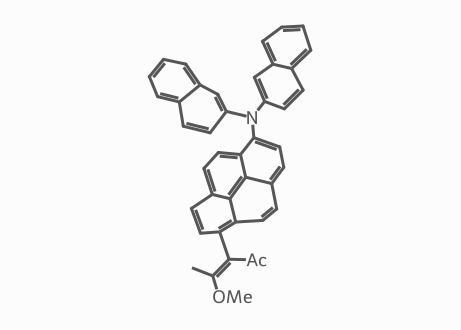 CO/C(C)=C(\C(C)=O)c1ccc2ccc3c(N(c4ccc5ccccc5c4)c4ccc5ccccc5c4)ccc4ccc1c2c43